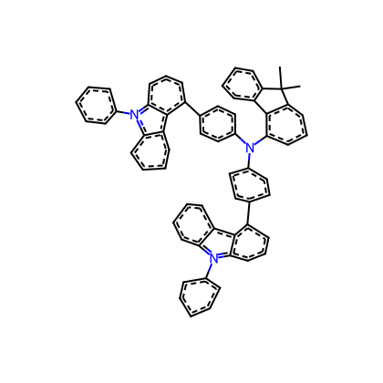 CC1(C)c2ccccc2-c2c(N(c3ccc(-c4cccc5c4c4ccccc4n5-c4ccccc4)cc3)c3ccc(-c4cccc5c4c4ccccc4n5-c4ccccc4)cc3)cccc21